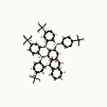 CC(C)(C)c1ccc(N2c3ccc(C(C)(C)C)cc3B3c4cc(C(C)(C)C)ccc4N(c4ccc(C(C)(C)C)cc4-c4cccc5ccccc45)c4cccc2c43)cc1